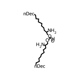 CCCCCCCCCCCCCCCCCCC(N)CO[PH](=O)OCC(N)CCCCCCCCCCCCCCCCCC